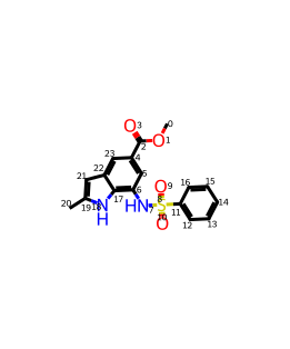 COC(=O)c1cc(NS(=O)(=O)c2ccccc2)c2[nH]c(C)cc2c1